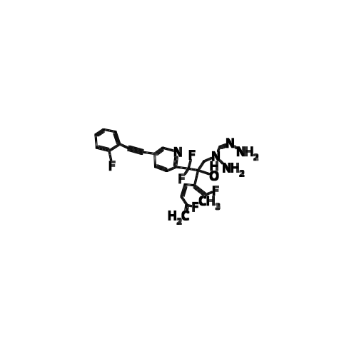 C=C(F)/C=C\C(=C(/C)F)C(O)(CN(N)/C=N\N)C(F)(F)c1ccc(C#Cc2ccccc2F)cn1